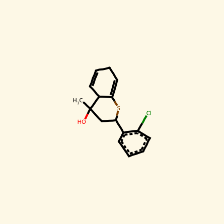 CC1(O)CC(c2ccccc2Cl)SC2=CCC=CC21